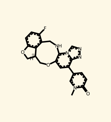 Cn1cc(-c2cc3c(n4cnnc24)NCc2c(F)ccc4c2[C@@H](CO4)CO3)ccc1=O